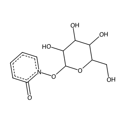 O=c1ccccn1OC1OC(CO)C(O)C(O)C1O